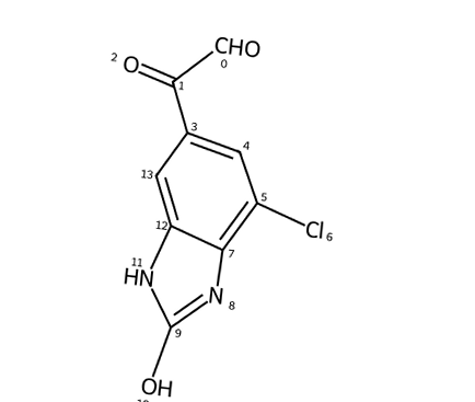 O=CC(=O)c1cc(Cl)c2nc(O)[nH]c2c1